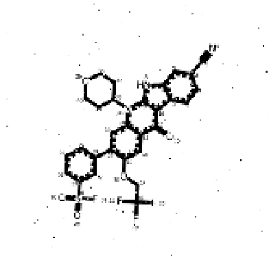 N#Cc1ccc2c(c1)[nH]c1c2c(=O)c2cc(OCC(F)(F)F)c(-c3cccc(S(=O)(=O)F)c3)cc2n1C1CCOCC1